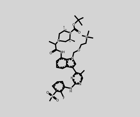 Cc1cnc(Nc2cccc(S(C)(=O)=O)c2F)nc1-c1cn(COCC[Si](C)(C)C)c2c(NC(=O)C(C)N3C[C@H](C)N(C(=O)OC(C)(C)C)[C@@H](C)C3)cccc12